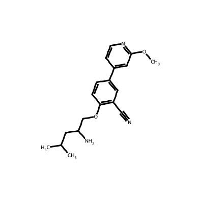 COc1cc(-c2ccc(OCC(N)CC(C)C)c(C#N)c2)ccn1